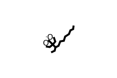 CCCCCCCCC(CC)C(CC)(CC)C([O])=O